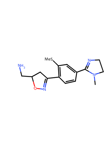 CSc1cc(C2=NCCN2C)ccc1C1=NOC(CN)C1